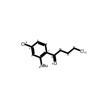 CCCCc1cc(Cl)ccc1C(=O)CCCCl